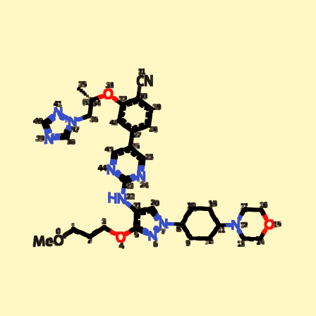 COCCCOc1nn(C2CCC(N3CCOCC3)CC2)cc1Nc1ncc(-c2ccc(C#N)c(O[C@@H](C)Cn3cncn3)c2)cn1